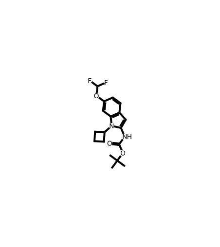 CC(C)(C)OC(=O)Nc1cc2ccc(OC(F)F)cc2n1C1CCC1